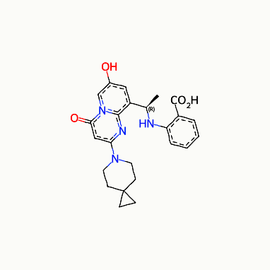 C[C@@H](Nc1ccccc1C(=O)O)c1cc(O)cn2c(=O)cc(N3CCC4(CC3)CC4)nc12